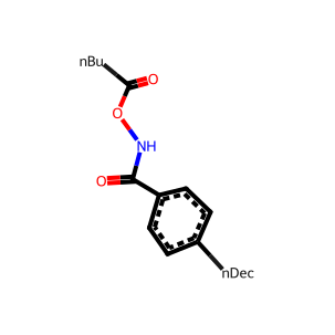 CCCCCCCCCCc1ccc(C(=O)NOC(=O)CCCC)cc1